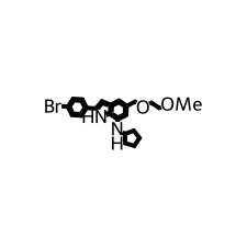 COCCOCc1cc(NC2CCCC2)c2[nH]c(-c3ccc(Br)cc3)cc2c1